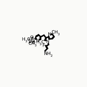 Cc1ccc2c(n1)c(Cc1ccc(S(=O)(=O)N(C)C)nc1)c(C)n2C/C(F)=C/CN